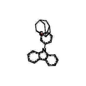 c1ccc2c(c1)c1ccccc1n2-c1ccc2c(c1)C1CC3CC(CC2C3)C1